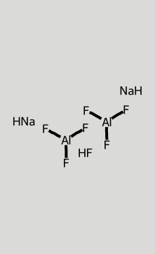 F.[F][Al]([F])[F].[F][Al]([F])[F].[NaH].[NaH]